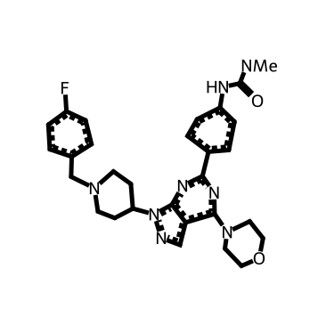 CNC(=O)Nc1ccc(-c2nc(N3CCOCC3)c3cnn(C4CCN(Cc5ccc(F)cc5)CC4)c3n2)cc1